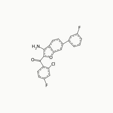 Nc1c(C(=O)c2ccc(F)cc2Cl)oc2cc(-c3cccc(F)c3)ccc12